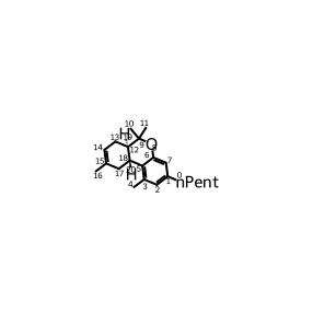 CCCCCc1cc(C)c2c(c1)OC(C)(C)[C@@H]1CC=C(C)C[C@@H]21